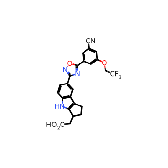 N#Cc1cc(OCC(F)(F)F)cc(-c2nc(-c3ccc4[nH]c5c(c4c3)CCC5CC(=O)O)no2)c1